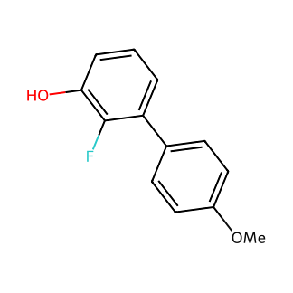 COc1ccc(-c2cccc(O)c2F)cc1